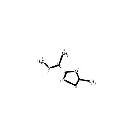 CSC(C)[C@H]1OCC(C)O1